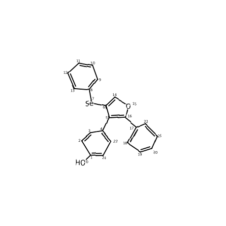 Oc1ccc(-c2c([Se]c3ccccc3)coc2-c2ccccc2)cc1